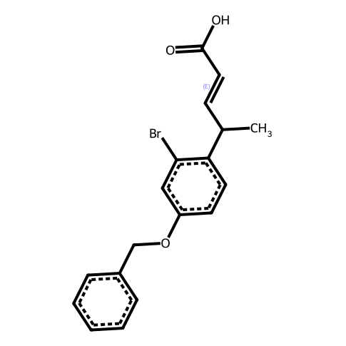 CC(/C=C/C(=O)O)c1ccc(OCc2ccccc2)cc1Br